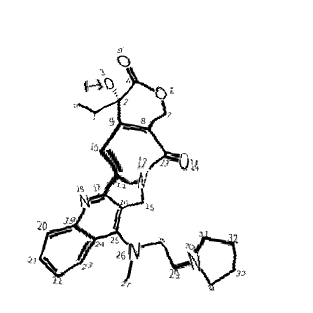 CC[C@@]1(O)C(=O)OCc2c1cc1n(c2=O)Cc2c-1nc1ccccc1c2N(C)CCN1CCCC1